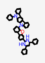 C1=C(c2ccccc2)NC(c2ccc3c(c2)oc2c(-n4c5ccccc5c5cc6c7ccccc7n(-c7ccccc7)c6cc54)cccc23)NC1c1ccccc1